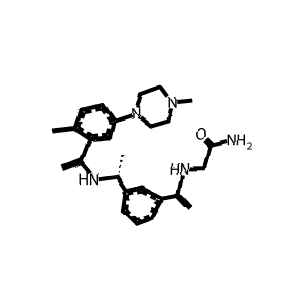 C=C(NCC(N)=O)c1cccc([C@@H](C)NC(=C)c2cc(N3CCN(C)CC3)ccc2C)c1